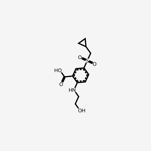 O=C(O)c1cc(S(=O)(=O)CC2CC2)ccc1NCCO